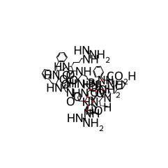 CC[C@H](C)[C@H](NC(=O)[C@H](CCCNC(=N)N)NC(=O)[C@H](CCCNC(=N)N)NC(=O)[C@H](Cc1ccccc1)NC(=O)[C@H](Cc1ccccc1)NC(=O)CNC(=O)OCC1c2ccccc2-c2ccccc21)C(=O)N[C@@H](CCCNC(=N)N)C(=O)N[C@H](C(=O)N[C@@H](Cc1ccccc1)C(=O)N[C@@H](Cc1ccccc1)C(=O)O)[C@@H](C)O